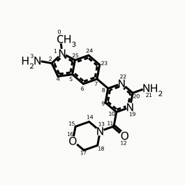 Cn1c(N)cc2cc(-c3cc(C(=O)N4CCOCC4)nc(N)n3)ccc21